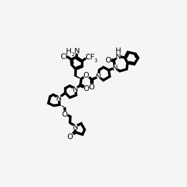 Nc1c(Cl)cc(C[C@@H](OC(=O)N2CCC(N3CCc4ccccc4NC3=O)CC2)C(=O)N2CCC(N3CCCC[C@H]3COCCN3CCCC3=O)CC2)cc1C(F)(F)F